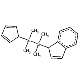 C[Si](C)(C1C=CC=C1)[Si](C)(C)C1C=Cc2ccccc21